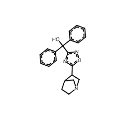 OC(c1ccccc1)(c1ccccc1)c1noc(C2CN3CCC2C3)n1